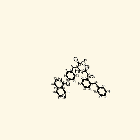 COC(=O)[C@H](Cc1ccc(Oc2nccc3ccncc23)cc1)NC(=O)N(C)c1ccccc1Cc1ccccc1